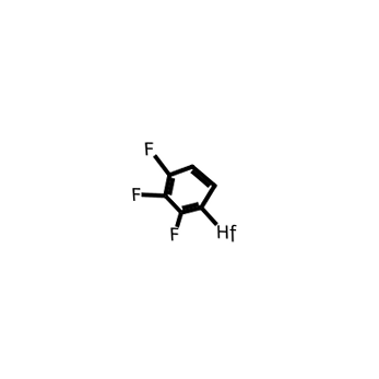 Fc1cc[c]([Hf])c(F)c1F